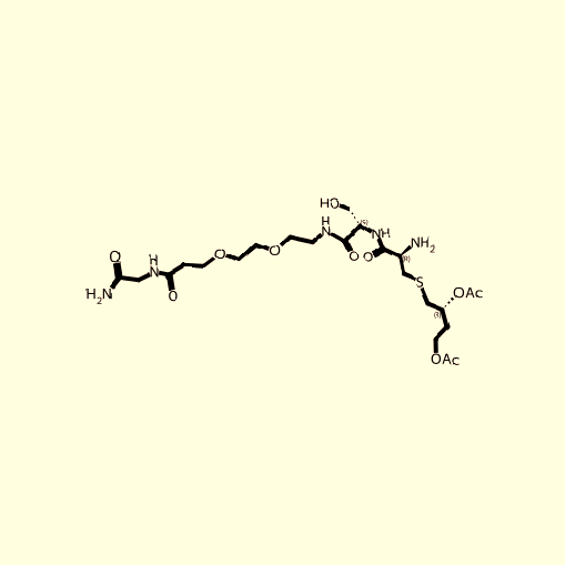 CC(=O)OCC[C@H](CSC[C@H](N)C(=O)N[C@@H](CO)C(=O)NCCOCCOCCC(=O)NCC(N)=O)OC(C)=O